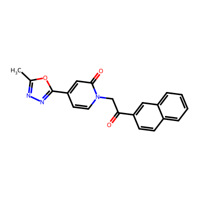 Cc1nnc(-c2ccn(CC(=O)c3ccc4ccccc4c3)c(=O)c2)o1